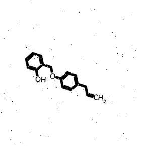 C=CCc1ccc(OCc2ccccc2O)cc1